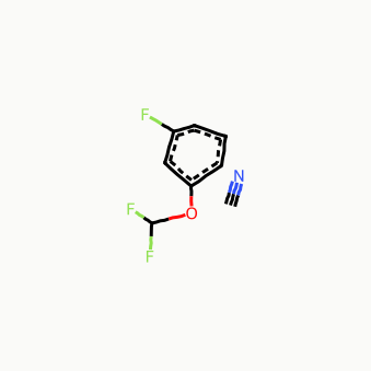 C#N.Fc1cccc(OC(F)F)c1